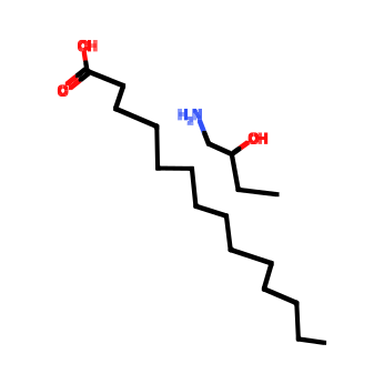 CCC(O)CN.CCCCCCCCCCCCCC(=O)O